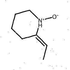 CC=C1CCCC[NH+]1[O-]